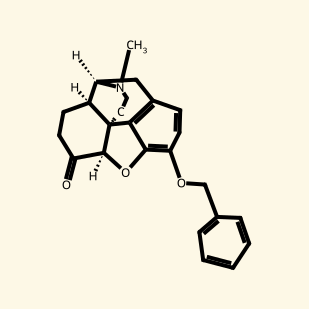 CN1CC[C@]23c4c5ccc(OCc6ccccc6)c4O[C@H]2C(=O)CC[C@H]3[C@H]1C5